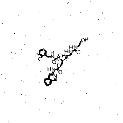 CN(C(=O)NCc1cccc(F)c1Cl)[C@@H](CCCNC(=O)NCCO)COC(=O)Nc1cc2ccccc2cn1